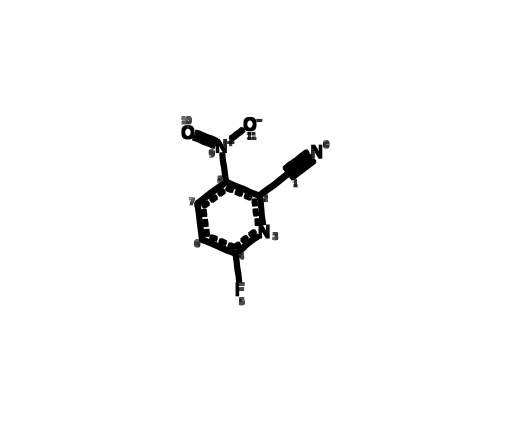 N#Cc1nc(F)ccc1[N+](=O)[O-]